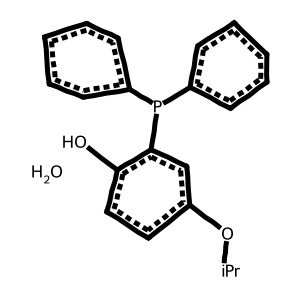 CC(C)Oc1ccc(O)c(P(c2ccccc2)c2ccccc2)c1.O